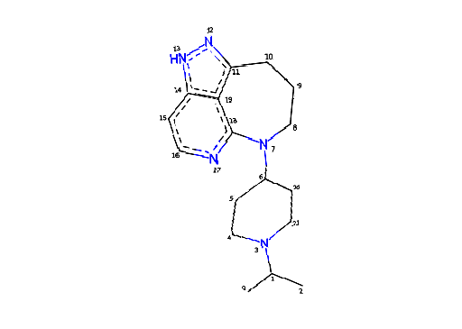 CC(C)N1CCC(N2CCCc3n[nH]c4ccnc2c34)CC1